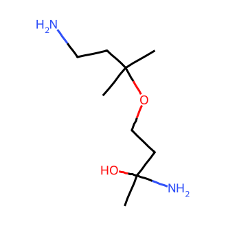 CC(N)(O)CCOC(C)(C)CCN